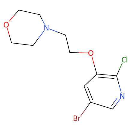 Clc1ncc(Br)cc1OCCN1CCOCC1